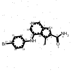 Cc1c(C(N)=O)sc2cncc(Nc3ccc(Br)cc3)c12